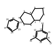 C1CCC2CCCCC2C1.Cc1cc(C)cc(C)c1.c1ccccc1